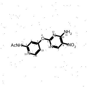 CC(=O)Nc1cc(Oc2ncc([N+](=O)[O-])c(N)n2)ccn1